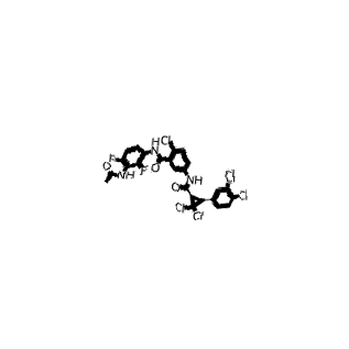 CC(=O)Nc1c(F)ccc(NC(=O)c2cc(NC(=O)[C@H]3[C@H](c4ccc(Cl)c(Cl)c4)C3(Cl)Cl)ccc2Cl)c1F